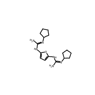 NC(=NC1CCCC1)Nc1ccc(NC(N)=NC2CCCC2)o1